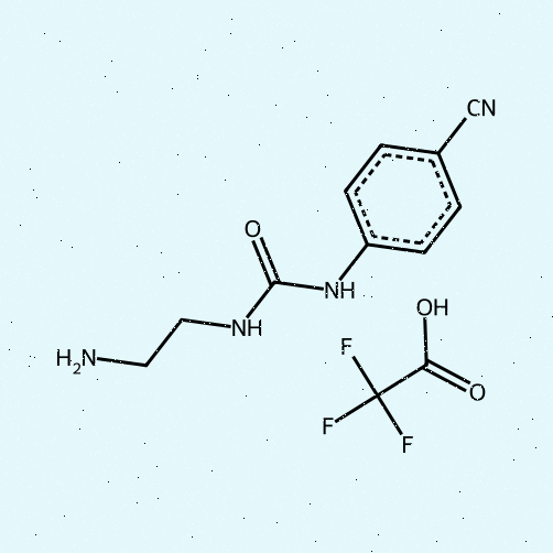 N#Cc1ccc(NC(=O)NCCN)cc1.O=C(O)C(F)(F)F